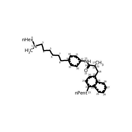 CCCCCCN(C)CCCCCCc1ccc(NC(=O)[C@@H](C)Cc2ccc(CCCCC)c3ccccc23)cc1